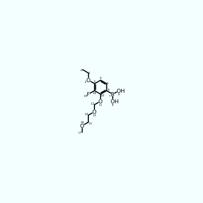 CCOc1ccc(B(O)O)c(OCOCCOC)c1F